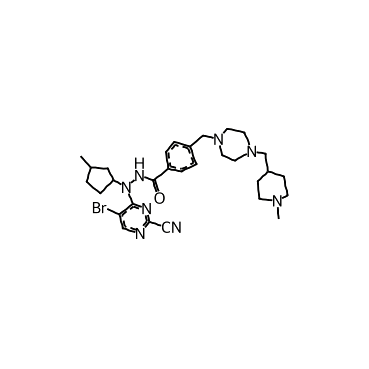 CC1CCC(N(NC(=O)c2ccc(CN3CCN(CC4CCN(C)CC4)CC3)cc2)c2nc(C#N)ncc2Br)C1